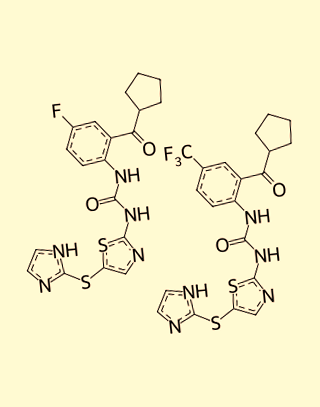 O=C(Nc1ncc(Sc2ncc[nH]2)s1)Nc1ccc(C(F)(F)F)cc1C(=O)C1CCCC1.O=C(Nc1ncc(Sc2ncc[nH]2)s1)Nc1ccc(F)cc1C(=O)C1CCCC1